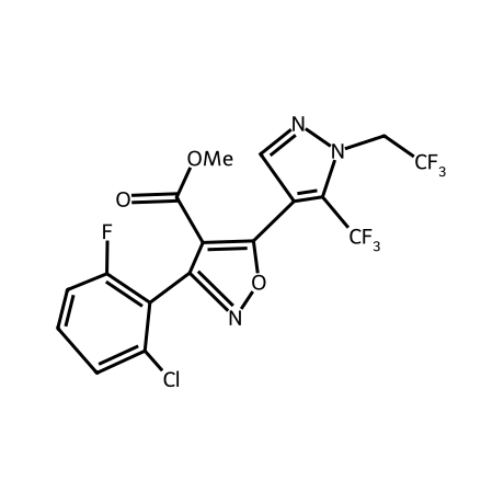 COC(=O)c1c(-c2c(F)cccc2Cl)noc1-c1cnn(CC(F)(F)F)c1C(F)(F)F